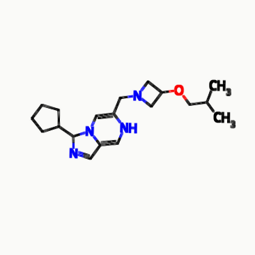 CC(C)COC1CN(CC2=CN3C(=CN2)C=NC3C2CCCC2)C1